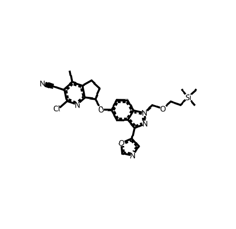 Cc1c(C#N)c(Cl)nc2c1CCC2Oc1ccc2c(c1)c(-c1cnco1)nn2COCC[Si](C)(C)C